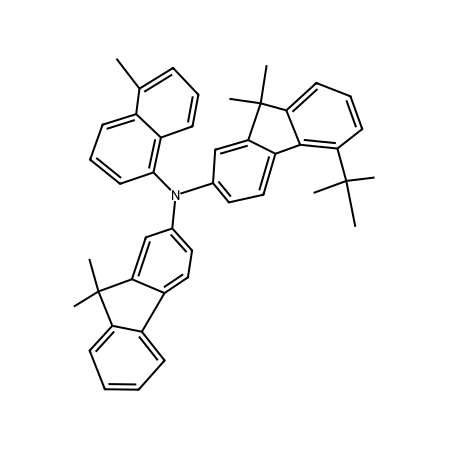 Cc1cccc2c(N(c3ccc4c(c3)C(C)(C)c3ccccc3-4)c3ccc4c(c3)C(C)(C)c3cccc(C(C)(C)C)c3-4)cccc12